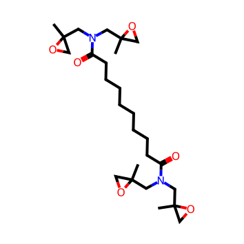 CC1(CN(CC2(C)CO2)C(=O)CCCCCCCCC(=O)N(CC2(C)CO2)CC2(C)CO2)CO1